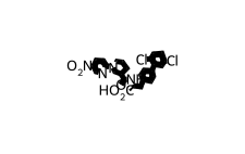 O=C(N[C@@H](Cc1ccc(-c2cc(Cl)ccc2Cl)cc1)C(=O)O)C1CCCN(c2ccc([N+](=O)[O-])cn2)C1